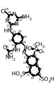 CS(=O)(=O)c1cc2cc(S(=O)(=O)O)cc(S(=O)(=O)O)c2cc1/N=N/c1ccc(Nc2nc(N)nc(Cl)n2)cc1NC(N)=O